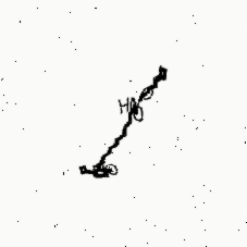 O=C(CCCCCCCCCCCN1C(=O)C=CC1=C1CCC1)NCCOCCC=C1CCC1